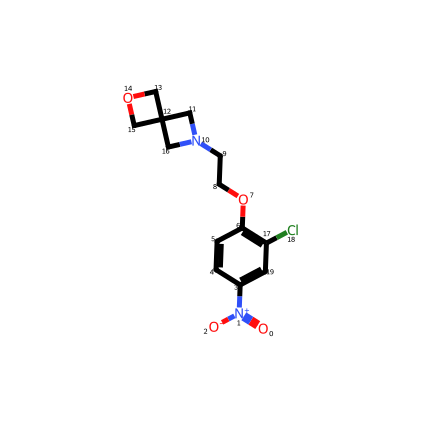 O=[N+]([O-])c1ccc(OCCN2CC3(COC3)C2)c(Cl)c1